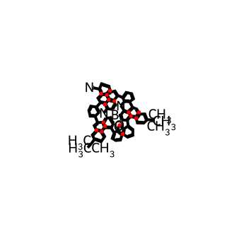 CC(C)(C)c1ccc(-c2cc3c(c4oc5ccccc5c24)B2c4c(cc(-c5cccc(C#N)c5)cc4N(c4c(-c5ccccc5)cccc4-c4ccccc4)c4cc(-c5ccc(C(C)(C)C)cc5)c5c(oc6ccccc65)c42)N3c2c(-c3ccccc3)cccc2-c2ccccc2)cc1